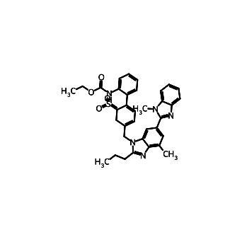 CCCc1nc2c(C)cc(-c3nc4ccccc4n3C)cc2n1CC1=CC=C(c2ccccc2NC(=O)OCC)C(=S(=O)=O)C1